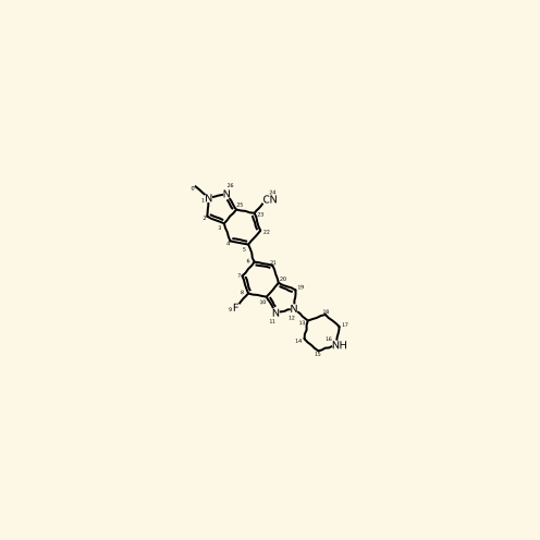 Cn1cc2cc(-c3cc(F)c4nn(C5CCNCC5)cc4c3)cc(C#N)c2n1